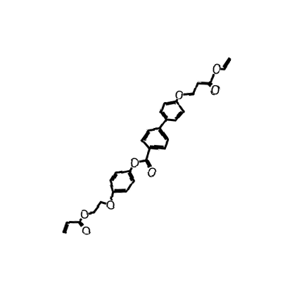 C=COC(=O)CCOc1ccc(-c2ccc(C(=O)Oc3ccc(OCCOC(=O)C=C)cc3)cc2)cc1